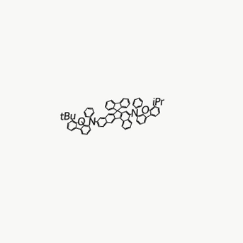 CC(C)c1cccc2c1oc1c(N(c3ccccc3)c3cc4c(c5ccccc35)-c3cc5ccc(N(c6ccccc6)c6cccc7c6oc6c(C(C)(C)C)cccc67)cc5cc3C43c4ccccc4-c4ccccc43)cccc12